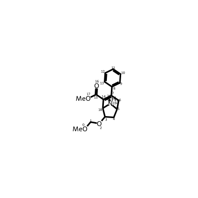 COCOC1CC2CC(c3ccccc3)=C(C(=O)OC)C1N2C